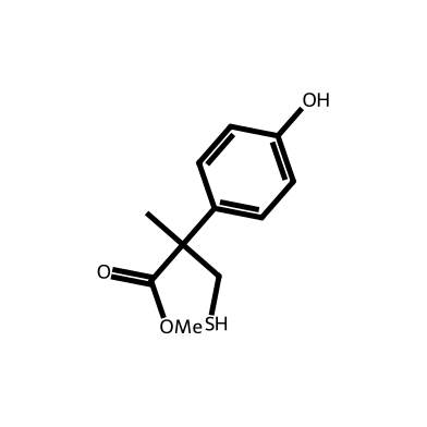 COC(=O)C(C)(CS)c1ccc(O)cc1